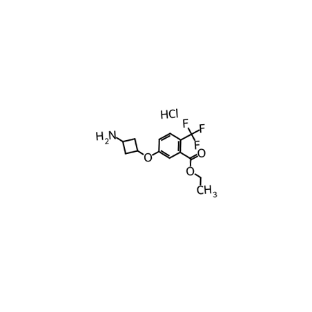 CCOC(=O)c1cc(OC2CC(N)C2)ccc1C(F)(F)F.Cl